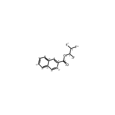 O=C(OC(F)C(F)F)c1cc2ccccc2cn1